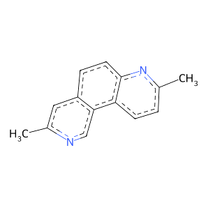 Cc1cc2ccc3nc(C)ccc3c2cn1